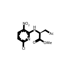 COC(=O)[C@H](CC(C)=O)Nc1nc(Cl)ccc1[N+](=O)[O-]